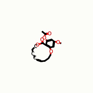 COc1cc2c(c(OC(C)=O)c1)C(=O)OCCCC/C=C\CCCO2